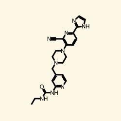 CCNC(=O)Nc1cc(CN2CCN(c3ccc(-c4ncc[nH]4)nc3C#N)CC2)ccn1